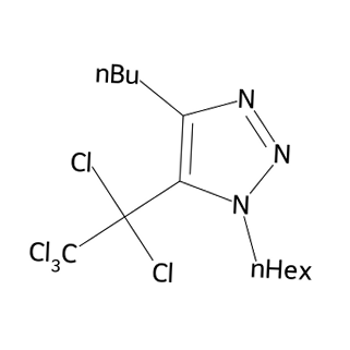 CCCCCCn1nnc(CCCC)c1C(Cl)(Cl)C(Cl)(Cl)Cl